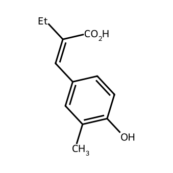 CCC(=Cc1ccc(O)c(C)c1)C(=O)O